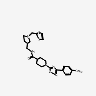 COc1ccc(-c2noc(N3CCC(C(=O)NCC4CCN(Cc5nccs5)C4)CC3)n2)cc1